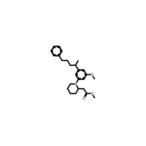 COC(=O)CC1CCCCN1c1cc(OC)cc(C(C)CCCc2ccccc2)c1